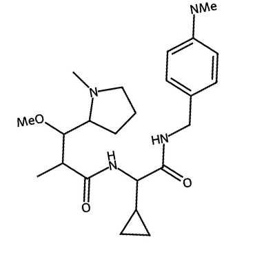 CNc1ccc(CNC(=O)C(NC(=O)C(C)C(OC)C2CCCN2C)C2CC2)cc1